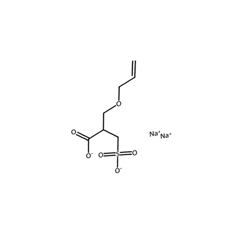 C=CCOCC(CS(=O)(=O)[O-])C(=O)[O-].[Na+].[Na+]